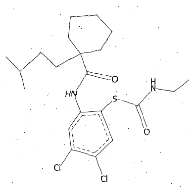 CCNC(=O)Sc1cc(Cl)c(Cl)cc1NC(=O)C1(CCC(C)C)CCCCC1